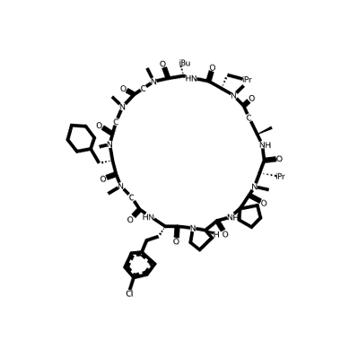 CCC(C)[C@@H]1NC(=O)[C@H](CC(C)C)N(C)C(=O)C[C@@H](C)NC(=O)[C@H](C(C)C)N(C)C(=O)C2(CCCC2)NC(=O)[C@@H]2CCCN2C(=O)[C@H](CCc2ccc(Cl)cc2)NC(=O)CN(C)C(=O)[C@H](CC2CCCCC2)N(C)C(=O)CN(C)C(=O)CN(C)C1=O